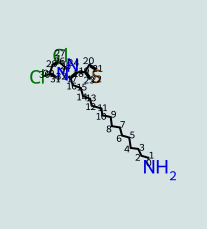 NCCCCCCCCCCCCCCCCc1c(-c2ccsc2)nc2c(Cl)cc(Cl)cn12